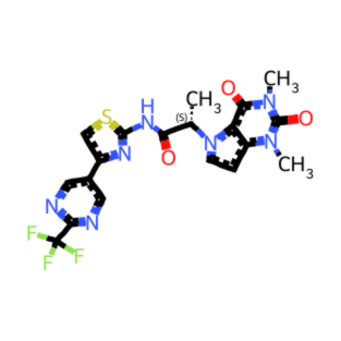 C[C@@H](C(=O)Nc1nc(-c2cnc(C(F)(F)F)nc2)cs1)n1ccc2c1c(=O)n(C)c(=O)n2C